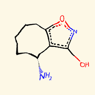 N[C@@H]1CCCc2onc(O)c21